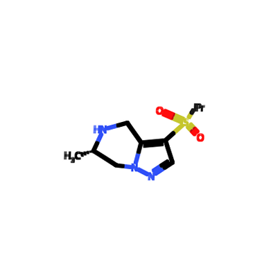 CC(C)S(=O)(=O)c1cnn2c1CN[C@@H](C)C2